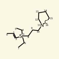 CC=C[Si](CC)(CC)CCCN1CCCCC1